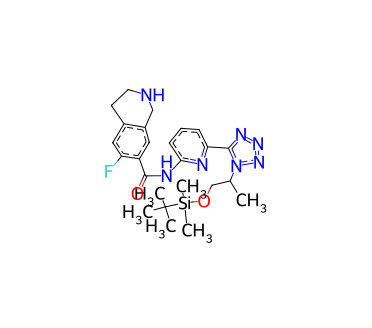 CC(CO[Si](C)(C)C(C)(C)C)n1nnnc1-c1cccc(NC(=O)c2cc3c(cc2F)CCNC3)n1